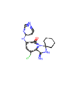 N=C1NC2(CCCCC2)n2c1c(Cl)cc(Nc1ccncn1)c2=O